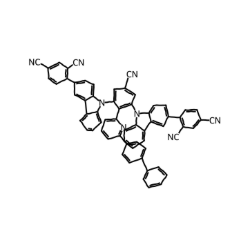 N#Cc1ccc(-c2ccc3c(c2)c2ccccc2n3-c2cc(C#N)cc(-n3c4ccccc4c4cc(-c5ccc(C#N)cc5C#N)ccc43)c2-c2cccc(-c3ccc(-c4ccccc4)cc3)n2)c(C#N)c1